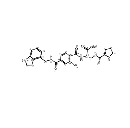 COC(=O)[C@H](CNC(=O)C1=CCCS1)NC(=O)c1ccc(C(=O)NCc2cccc3c2CCN3)cc1Br